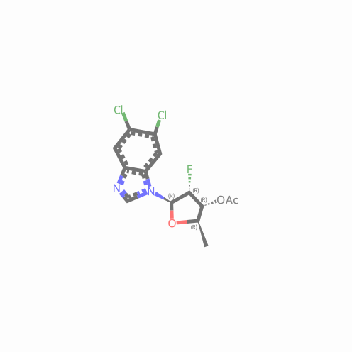 CC(=O)O[C@H]1[C@@H](F)[C@H](n2cnc3cc(Cl)c(Cl)cc32)O[C@@H]1C